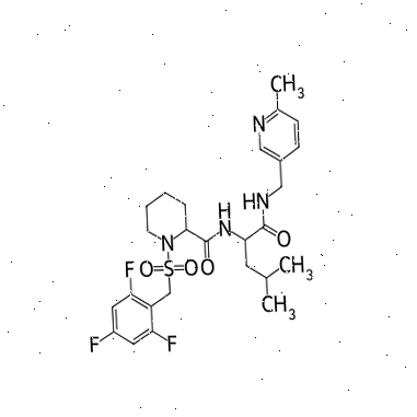 Cc1ccc(CNC(=O)C(CC(C)C)NC(=O)C2CCCCN2S(=O)(=O)Cc2c(F)cc(F)cc2F)cn1